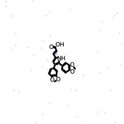 O=C(O)/C=C/c1cc(-c2ccc3c(c2)OCO3)c(-c2ccc3c(c2)OCO3)[nH]1